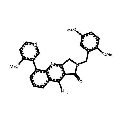 COc1ccc(OC)c(CN2Cc3nc4c(-c5cnccc5OC)cccc4c(N)c3C2=O)c1